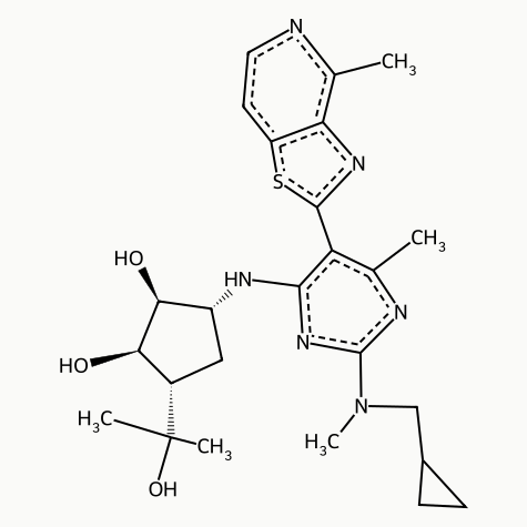 Cc1nc(N(C)CC2CC2)nc(N[C@@H]2C[C@H](C(C)(C)O)[C@@H](O)[C@H]2O)c1-c1nc2c(C)nccc2s1